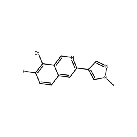 CCc1c(F)ccc2cc(-c3cnn(C)c3)ncc12